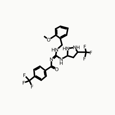 COc1ccccc1CN/C(=N/C(=O)c1ccc(C(F)(F)F)cc1)NC1CC(C(F)(F)F)NN1